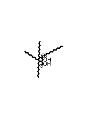 CCCCCCCCCCOOc1c(O)c(C(=O)O)c(CCCCCCCC)c(CCCCCCCC)c1CCCCCCCC